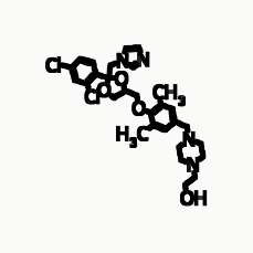 Cc1cc(CN2CCN(CCO)CC2)cc(C)c1OCC1COC(Cn2ccnc2)(c2ccc(Cl)cc2Cl)O1